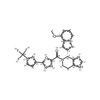 COc1cccn2nc([C@@H]3c4nc[nH]c4CCN3C(=O)c3nnc(-c4ccn(C(F)(F)F)n4)o3)cc12